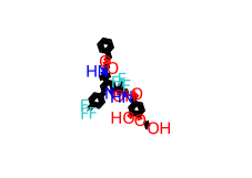 CC(C)(NC(=O)OCc1ccccc1)c1cc(-c2ccc(C(F)(F)F)cc2)nc(C(O)(CNC(=O)c2ccc(OCCO)c(O)c2)C(F)(F)F)c1